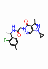 Cc1ccc([C@H](C)NC(=O)Cn2ncc3c(c(C)nn3C3CC3)c2=O)c(F)c1